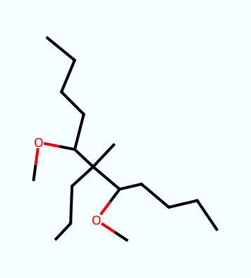 CCCCC(OC)C(C)(CCC)C(CCCC)OC